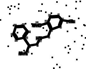 CNC(CNCc1cc(C(C)(C)C)ccc1OC)c1ccccc1